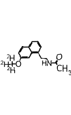 [2H]C([2H])([2H])Oc1ccc2cccc(CCNC(C)=O)c2c1